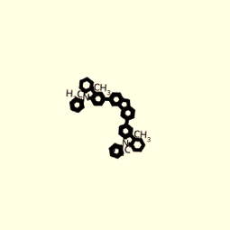 CC12CCCCC1(C)N(c1ccccc1)c1ccc(-c3ccc4c(c3)-c3cc(-c5ccc6c(c5)C5(C)CCCCC5(C)N6c5ccccc5)ccc3C4)cc12